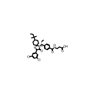 CC[C@H](c1ccc(C(=O)NCCC(=O)O)cc1)N1C(=O)C(c2cc(Cl)cc(Cl)c2)=NC12CCC(C(C)(C)CC)CC2